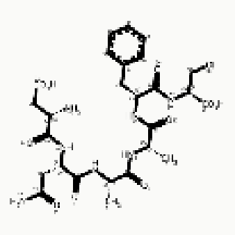 C[C@H](NC(=O)[C@H](C)NC(=O)[C@H](CC(N)=O)NC(=O)[C@@H](N)CC(=O)O)C(=O)N[C@@H](Cc1ccccc1)C(=O)N[C@@H](CO)C(=O)O